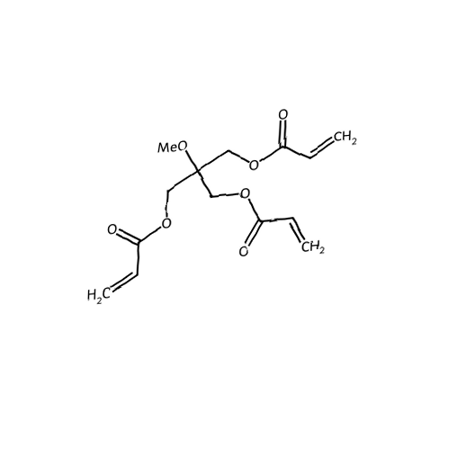 C=CC(=O)OCC(COC(=O)C=C)(COC(=O)C=C)OC